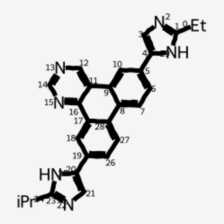 CCc1ncc(-c2ccc3c(c2)c2cncnc2c2cc(-c4cnc(C(C)C)[nH]4)ccc32)[nH]1